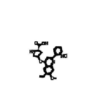 C=Cc1cc2c(OC3CN[C@H](C(=O)O)C3)cc(-c3ccccc3)nc2cc1OC.Cl